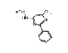 CCCCCCCCNc1cc(C)nc(-c2ccccc2)n1